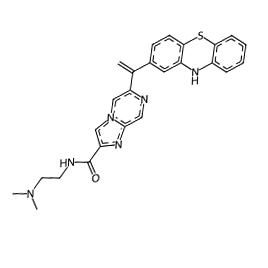 C=C(c1ccc2c(c1)Nc1ccccc1S2)c1cn2cc(C(=O)NCCN(C)C)nc2cn1